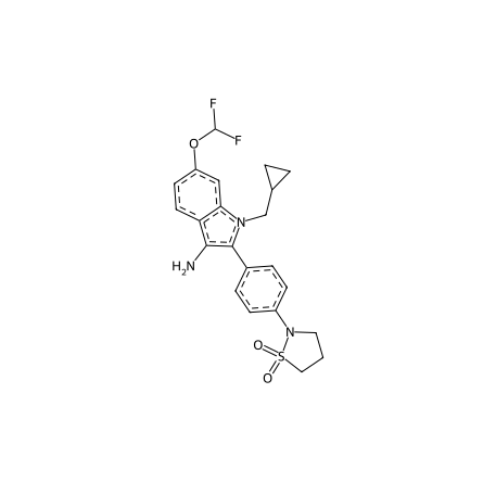 Nc1c(-c2ccc(N3CCCS3(=O)=O)cc2)n(CC2CC2)c2cc(OC(F)F)ccc12